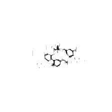 CCN(Cc1cc(C(F)(F)F)ccc1-c1cc(CC(=O)OC)ccc1OC)C(=O)OCc1cccc(I)c1